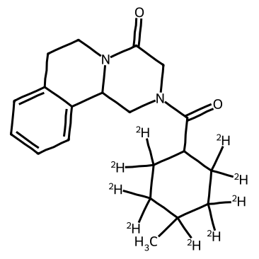 [2H]C1([2H])C(C(=O)N2CC(=O)N3CCc4ccccc4C3C2)C([2H])([2H])C([2H])([2H])C([2H])(C)C1([2H])[2H]